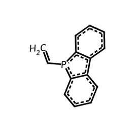 C=Cp1c2ccccc2c2ccccc21